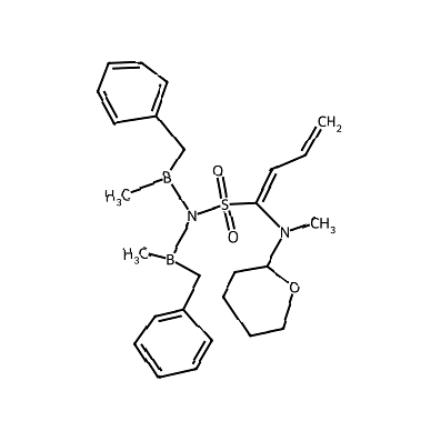 C=C/C=C(\N(C)C1CCCCO1)S(=O)(=O)N(B(C)Cc1ccccc1)B(C)Cc1ccccc1